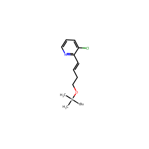 CC(C)(C)[Si](C)(C)OCCC=Cc1ncccc1Cl